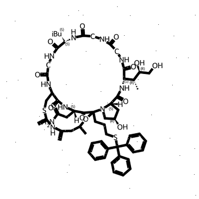 C=C1CC(C)OC2(CCCSC(c3ccccc3)(c3ccccc3)c3ccccc3)C(=O)[C@H](CC(N)=O)NC(=O)C(CSC(=C)N1)NC(=O)CNC(=O)[C@H]([C@@H](C)CC)NC(=O)CNC(=O)CNC(=O)[C@H]([C@@H](C)[C@@H](O)CO)NC(=O)[C@@H]1C[C@@H](O)CN12